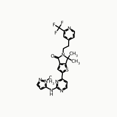 Cn1nccc1Nc1nccc(-c2cc3c(s2)C(C)(C)N(CCc2ccnc(C(F)(F)F)c2)C3=O)n1